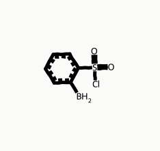 Bc1ccccc1S(=O)(=O)Cl